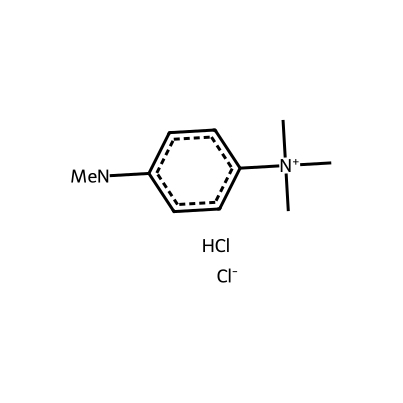 CNc1ccc([N+](C)(C)C)cc1.Cl.[Cl-]